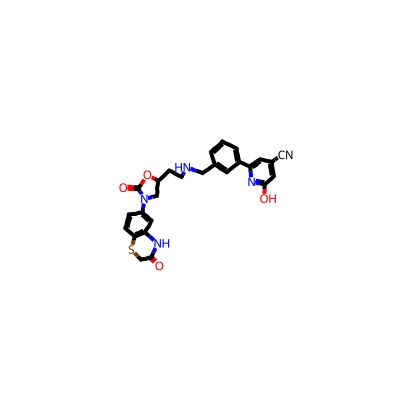 N#Cc1cc(O)nc(-c2cccc(CNCCC3CN(c4ccc5c(c4)NC(=O)CS5)C(=O)O3)c2)c1